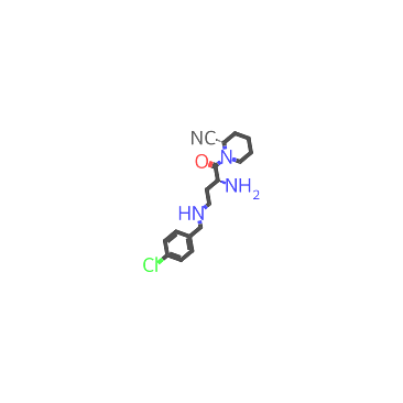 N#C[C@@H]1CCCCN1C(=O)[C@@H](N)CCNCc1ccc(Cl)cc1